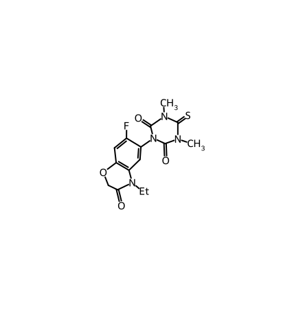 CCN1C(=O)COc2cc(F)c(-n3c(=O)n(C)c(=S)n(C)c3=O)cc21